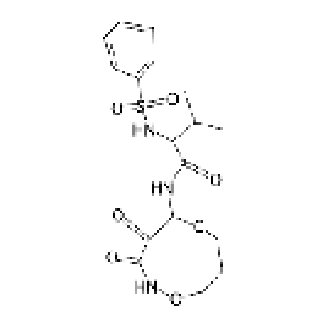 CC(C)C(NS(=O)(=O)c1ccccc1)C(=O)NC1CCCCONC(=O)C1=O